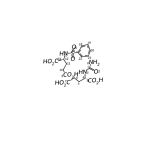 NC(=O)N[C@@H](CCC(=O)O)C(=O)O.O=C(O)CC[C@H](NS(=O)(=O)c1ccccc1)C(=O)O